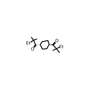 CCC(C)(C)C(=O)[C@H]1CC[C@H](C(=O)C(C)(C)CC)CC1